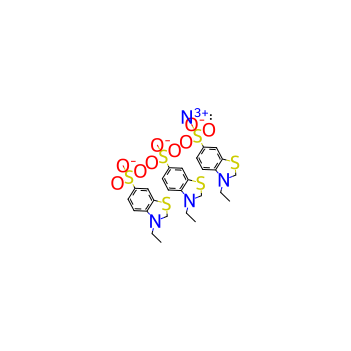 CCN1CSc2cc(S(=O)(=O)[O-])ccc21.CCN1CSc2cc(S(=O)(=O)[O-])ccc21.CCN1CSc2cc(S(=O)(=O)[O-])ccc21.[N+3]